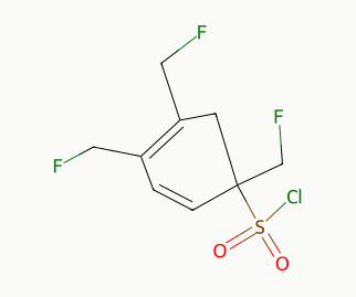 O=S(=O)(Cl)C1(CF)C=CC(CF)=C(CF)C1